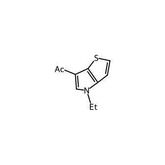 CCn1cc(C(C)=O)c2sccc21